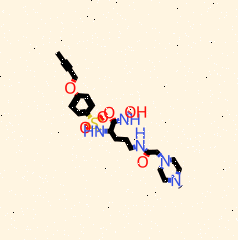 CC#CCOc1ccc(S(=O)(=O)NC(CCCNC(=O)CN2CCN(C)CC2)C(=O)NO)cc1